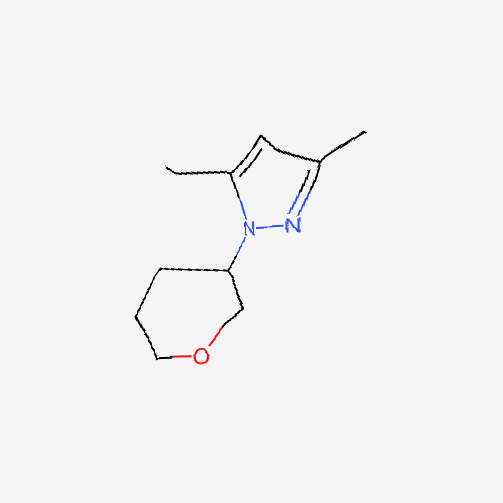 Cc1cc(C)n(C2CCCOC2)n1